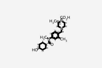 Cc1cc(N(C)C(=O)[C@H]2CC[C@@H](O)CC2)ccc1CN1CCN(C(=O)O)[C@@H](C)C1